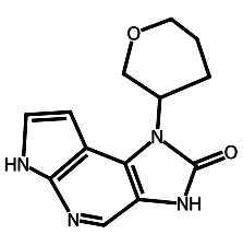 O=c1[nH]c2cnc3[nH]ccc3c2n1C1CCCOC1